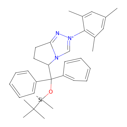 Cc1cc(C)c(-[n+]2cn3c(n2)CCC3C(O[Si](C)(C)C(C)(C)C)(c2ccccc2)c2ccccc2)c(C)c1